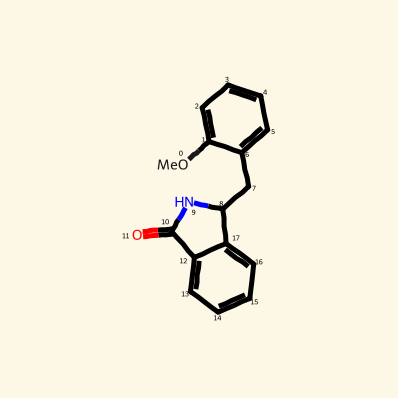 COc1ccccc1CC1NC(=O)c2ccccc21